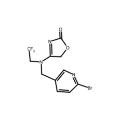 O=C1N=C(N(Cc2ccc(Br)nc2)CC(F)(F)F)CO1